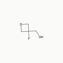 OCC1(F)COC1